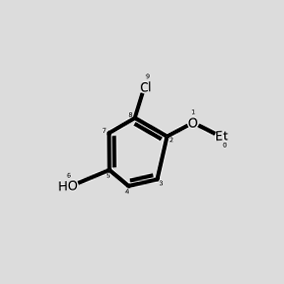 CCOc1ccc(O)cc1Cl